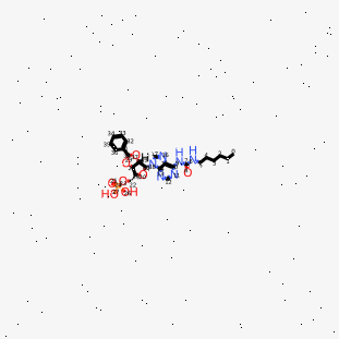 CCCCCCNC(=O)Nc1ncnc2c1ncn2[C@@H]1O[C@H](COP(=O)(O)O)C2OC(c3ccccc3)O[C@@H]21